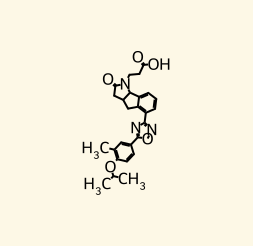 Cc1cc(-c2nc(-c3cccc4c3CC3CC(=O)N(CCC(=O)O)C43)no2)ccc1OC(C)C